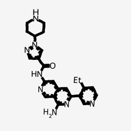 CCc1ccncc1-c1cc2cc(NC(=O)c3cnn(C4CCNCC4)c3)ncc2c(N)n1